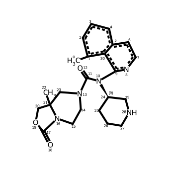 Cc1cccc2ccnc(N(C(=O)N3CCN4C(=O)OCC4(C)C3)[C@@H]3CCCNC3)c12